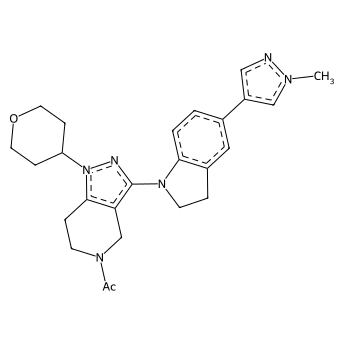 CC(=O)N1CCc2c(c(N3CCc4cc(-c5cnn(C)c5)ccc43)nn2C2CCOCC2)C1